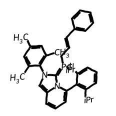 Cc1cc(C)c(-n2cc3cccc(-c4c(C(C)C)cccc4C(C)C)n3[c]2=[Pd]([Cl])[CH2]C=Cc2ccccc2)c(C)c1